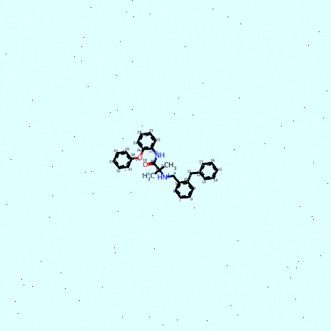 CC(C)(NCc1ccccc1Cc1ccccc1)C(=O)Nc1ccccc1Oc1ccccc1